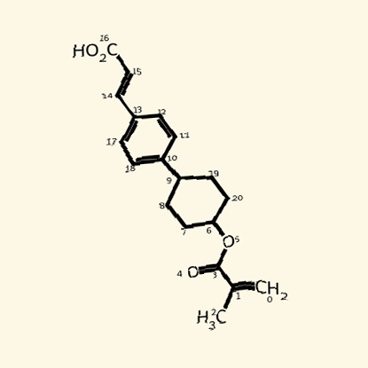 C=C(C)C(=O)OC1CCC(c2ccc(/C=C/C(=O)O)cc2)CC1